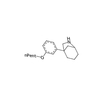 CCCCCOc1cccc(C23CCCC(C2)NC3)c1